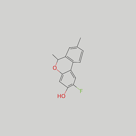 Cc1ccc2c(c1)C(C)Oc1cc(O)c(F)cc1-2